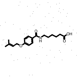 CC(C)=CCOc1ccc(C(=O)NCCCCCC(=O)O)cc1